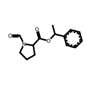 CC(OC(=O)C1CCCN1[C]=O)c1ccccc1